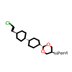 CCCCC[C@H]1CO[C@H](C2CCC([C@H]3CC[C@H](/C=C/Cl)CC3)CC2)OC1